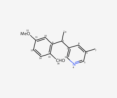 [CH2]C(c1cncc(C)c1)c1cc(OC)ccc1C=O